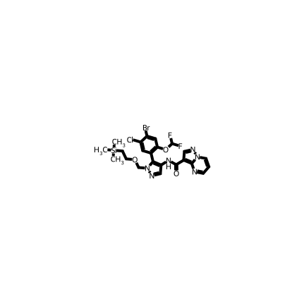 C[Si](C)(C)CCOCn1ncc(NC(=O)c2cnn3cccnc23)c1-c1cc(Cl)c(Br)cc1OC(F)F